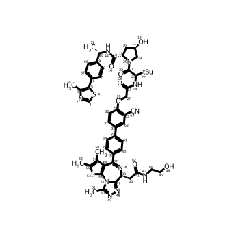 Cc1ncsc1-c1ccc([C@H](C)NC(=O)[C@@H]2C[C@@H](O)CN2C(=O)C(NC(=O)COc2ccc(-c3ccc(C4=N[C@@H](CC(=O)NCCO)c5nnc(C)n5-c5sc(C)c(C)c54)cc3)cc2C#N)C(C)(C)C)cc1